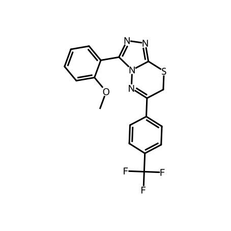 COc1ccccc1-c1nnc2n1N=C(c1ccc(C(F)(F)F)cc1)CS2